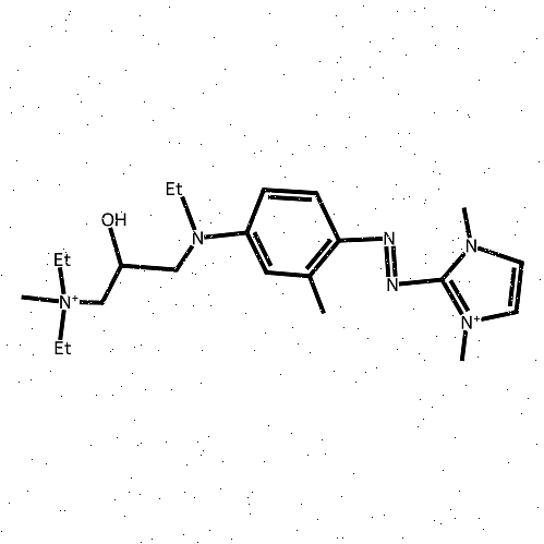 CCN(CC(O)C[N+](C)(CC)CC)c1ccc(N=Nc2n(C)cc[n+]2C)c(C)c1